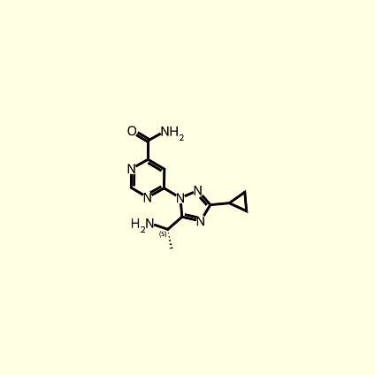 C[C@H](N)c1nc(C2CC2)nn1-c1cc(C(N)=O)ncn1